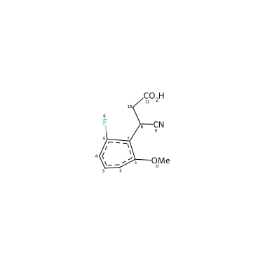 COc1cccc(F)c1C(C#N)CC(=O)O